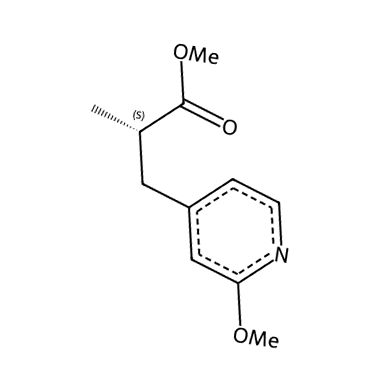 COC(=O)[C@@H](C)Cc1ccnc(OC)c1